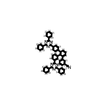 N#Cc1cccc(-c2cccc(-c3ccc(-c4nc(-c5ccccc5)nc(-c5ccccc5)n4)cc3)c2-c2cccc(-c3nc(-c4ccccc4)nc(-c4ccccc4)n3)c2)c1